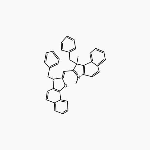 C[N+]1=C(/C=C2\Oc3c(ccc4ccccc34)N2Cc2ccccc2)C(C)(Cc2ccccc2)c2c1ccc1ccccc21